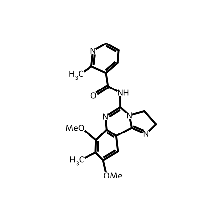 COc1cc2c(c(OC)c1C)N=C(NC(=O)c1cccnc1C)N1CCN=C21